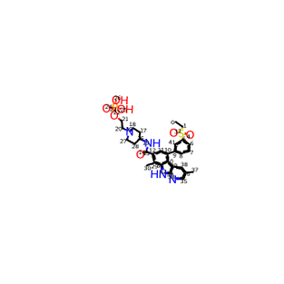 CCS(=O)(=O)c1cccc(-c2cc(C(=O)NC3CCN(CCOP(=O)(O)O)CC3)c(C)c3[nH]c4ncc(C)cc4c23)c1